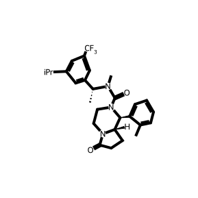 Cc1ccccc1[C@H]1[C@@H]2CCC(=O)N2CCN1C(=O)N(C)[C@H](C)c1cc(C(C)C)cc(C(F)(F)F)c1